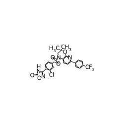 CC1(C)CN(S(=O)(=O)c2ccc(-c3noc(=O)[nH]3)c(Cl)c2)c2ccc(-c3ccc(C(F)(F)F)cc3)nc2O1